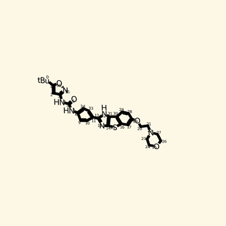 CC(C)(C)c1cc(NC(=O)Nc2ccc(-c3nc4sc5cc(OCCN6CCOCC6)ccc5c4[nH]3)cc2)no1